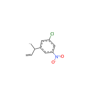 [CH2]C(C=C)c1cc(Cl)cc([N+](=O)[O-])c1